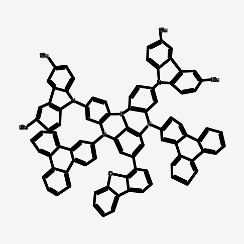 CC(C)(C)c1ccc2c(c1)c1cc(C(C)(C)C)ccc1n2-c1ccc2c(c1)N(c1ccc3c4ccccc4c4ccccc4c3c1)c1cc(-c3cccc4c3oc3ccccc34)cc3c1B2c1ccc(-n2c4ccc(C(C)(C)C)cc4c4cc(C(C)(C)C)ccc42)cc1N3c1ccc2c3ccccc3c3ccccc3c2c1